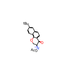 CC(=O)O/N=C1\COc2c(ccc3cc(C(C)(C)C)ccc23)C1=O